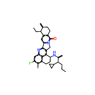 C=C1CCc2c(cc3n(c2=O)Cc2c-3nc3cc(F)c(C)c4c3c2C(NC(=C)C(CCC)C2CC2)CC4)C1CC